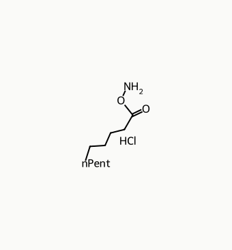 CCCCCCCCCC(=O)ON.Cl